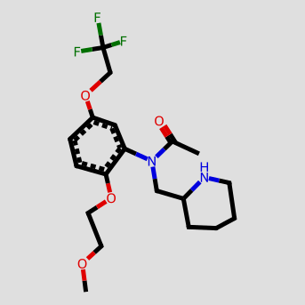 COCCOc1ccc(OCC(F)(F)F)cc1N(CC1CCCCN1)C(C)=O